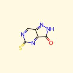 O=C1NN=C2C=NC(=S)N=C12